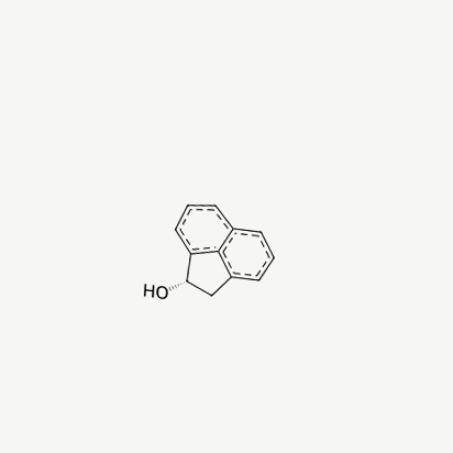 O[C@H]1Cc2cccc3cccc1c23